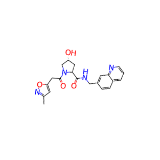 Cc1cc(CC(=O)N2C[C@H](O)CC2C(=O)NCc2ccc3cccnc3c2)on1